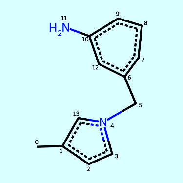 Cc1ccn(Cc2cccc(N)c2)c1